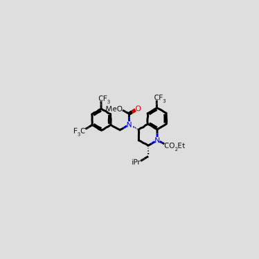 CCOC(=O)N1c2ccc(C(F)(F)F)cc2[C@@H](N(Cc2cc(C(F)(F)F)cc(C(F)(F)F)c2)C(=O)OC)C[C@H]1CC(C)C